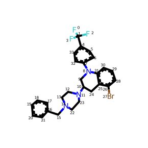 FC(F)(F)c1ccc(N2CC(N3CCN(Cc4ccccc4)CC3)Cc3c(Br)cccc32)cc1